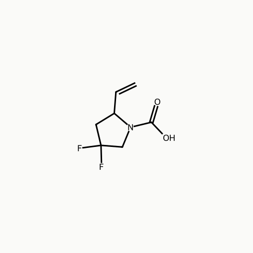 C=CC1CC(F)(F)CN1C(=O)O